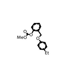 CCc1ccc(OCc2ccccc2OC(=O)OC)cc1